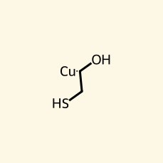 OCCS.[Cu]